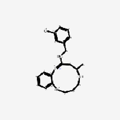 CC1C/C(NCc2cccc(Cl)c2)=N\c2ccccc2NCCCN1